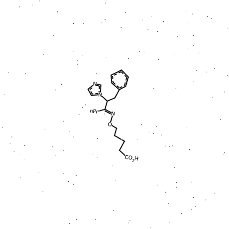 CCCC(=NOCCCCC(=O)O)C(Cc1ccccc1)n1ccnc1